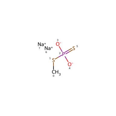 CSP([O-])([O-])=S.[Na+].[Na+]